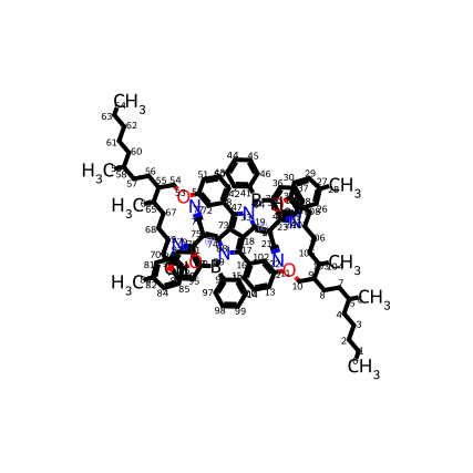 CCCCCC(C)CCC(COc1cccc(-c2c3/c(=C(\C#N)c4nc5cc(C)ccc5o4)n(B(c4ccccc4)c4ccccc4)c(-c4cccc(OCC(CCC(C)CCCCC)C(C)CCCCC)c4)c3/c(=C(\C#N)c3nc4cc(C)ccc4o3)n2B(c2ccccc2)c2ccccc2)c1)C(C)CCCCC